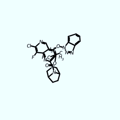 CC(C)(C)OC(=O)N1C2CCC1CN(c1cc(On3nnc4ccccc43)c3cnc(Cl)c(F)c3n1)C2